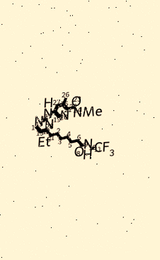 CCC(CCCCCC(=O)NCC(F)(F)F)c1ccnc(Nc2cnc(C(=O)NC)c(C)c2)n1